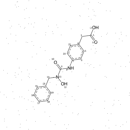 O=C(O)Cc1ccc(NC(=O)N(O)Cc2ccccc2)cc1